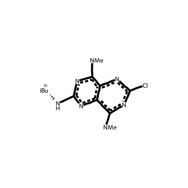 CC[C@@H](C)Nc1nc(NC)c2nc(Cl)nc(NC)c2n1